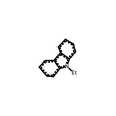 CCn1c2ccc[c]c2c2[c]cccc21